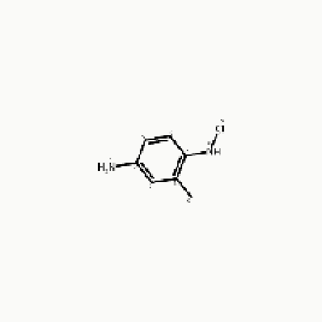 Cc1cc(N)ccc1NCl